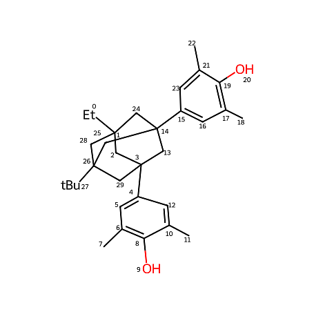 CCC12CC3(c4cc(C)c(O)c(C)c4)CC(c4cc(C)c(O)c(C)c4)(C1)CC(C(C)(C)C)(C2)C3